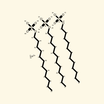 CCCCCCCCCCCCOS(=O)(=O)[O-].CCCCCCCCCCCCOS(=O)(=O)[O-].CCCCCCCCCCCCOS(=O)(=O)[O-].[Lu+3]